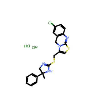 CC1(c2ccccc2)CN=C(SCC2=CSC3=Nc4ccc(Cl)cc4CN23)N1.Cl.Cl